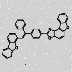 C(=C(/c1ccccc1)c1ccc(-c2nc3c(ccc4oc5ccccc5c43)o2)cc1)/c1cccc2c1oc1ccccc12